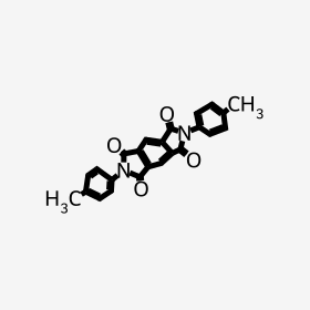 Cc1ccc(-n2c(=O)c3cc4c(=O)n(-c5ccc(C)cc5)c(=O)c4cc3c2=O)cc1